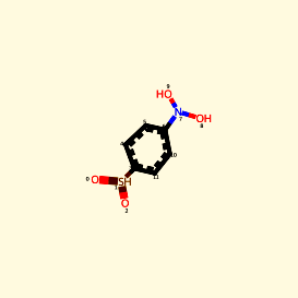 O=[SH](=O)c1ccc(N(O)O)cc1